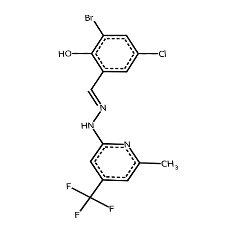 Cc1cc(C(F)(F)F)cc(N/N=C/c2cc(Cl)cc(Br)c2O)n1